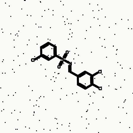 O=S(=O)(/N=C/c1ccc(Cl)c(Cl)c1)c1cccc(Cl)c1